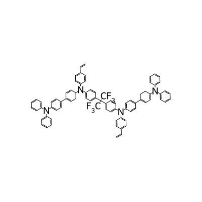 C=Cc1ccc(N(c2ccc(C3=CC=C(N(c4ccccc4)c4ccccc4)CC3)cc2)c2ccc(C(c3ccc(N(c4ccc(C=C)cc4)c4ccc(-c5ccc(N(c6ccccc6)c6ccccc6)cc5)cc4)cc3)(C(F)(F)F)C(F)(F)F)cc2)cc1